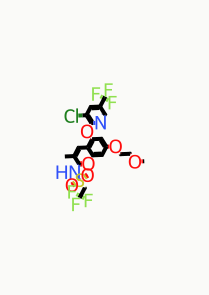 COCCOc1ccc(C=C(C)C(=O)NS(=O)(=O)CC(F)(F)F)c(Oc2ncc(C(F)(F)F)cc2Cl)c1